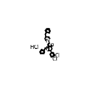 Cl.O=C1CC(c2ccc(Cl)c(Cl)c2)CN(Cc2ccccc2)C1CCN1CCC(Cc2ccccc2)CC1